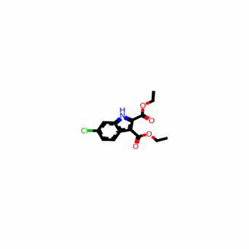 CCOC(=O)c1[nH]c2cc(Cl)ccc2c1C(=O)OCC